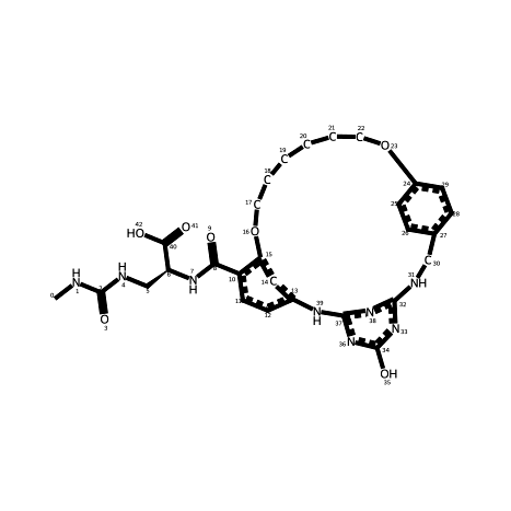 CNC(=O)NC[C@H](NC(=O)c1ccc2cc1OCCCCCCOc1ccc(cc1)CNc1nc(O)nc(n1)N2)C(=O)O